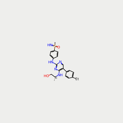 CCc1ccc(-c2cnc(Nc3ccc(S(C)(=N)=O)cc3)nc2N[C@H](C)CO)cc1